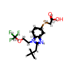 CC(C)(C)Cc1nc2cc(SCC(=O)O)ccc2n1CCOC(F)(F)F